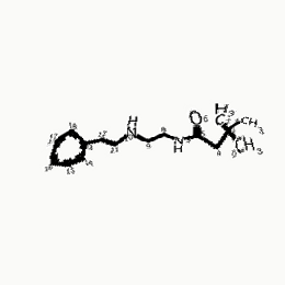 CC(C)(C)CC(=O)NCCNCCc1ccccc1